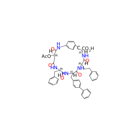 CC(=O)O[C@@H]1CC(=O)N[C@H](Cc2ccccc2)C(=O)N[C@@H](Cc2ccc(-c3ccccc3)cc2)C(=O)N[C@H](CCc2ccccc2)C(=O)N[C@H](C(=O)O)Cc2ccc(cc2)NC1=O